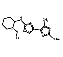 CC(=O)Nc1nc(C)c(-c2csc(NC3CCCC[C@@H]3CO)n2)s1